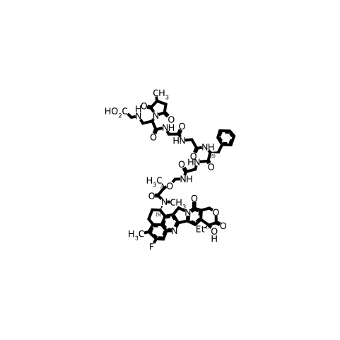 CC[C@@]1(O)C(=O)OCc2c1cc1n(c2=O)Cc2c-1nc1cc(F)c(C)c3c1c2[C@@H](N(C)C(=O)[C@H](C)OCNC(=O)CNC(=O)[C@H](Cc1ccccc1)NC(=O)CNC(=O)CNC(=O)C(CNCC(=O)O)N1C(=O)CC(C)C1=O)CC3